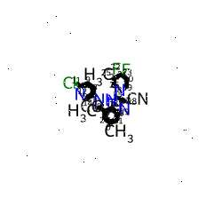 Cc1cc([C@@H](C)Nc2ccc(Cl)nc2C(=O)O)c2nc(N3CCC(F)(F)C(C)C3)c(C#N)nc2c1